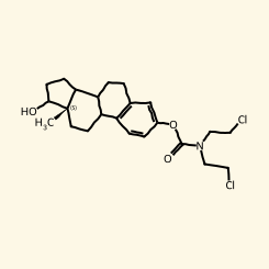 C[C@]12CCC3c4ccc(OC(=O)N(CCCl)CCCl)cc4CCC3C1CCC2O